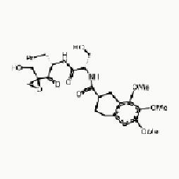 COc1cc2c(c(OC)c1OC)C[C@H](C(=O)N[C@@H](CO)C(=O)N[C@@H](CC(C)C)C(=O)[C@@]1(CO)CO1)CC2